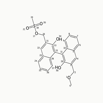 COCc1cc2ccccc2c(-c2c(O)c(COS(C)(=O)=O)cc3ccccc23)c1O